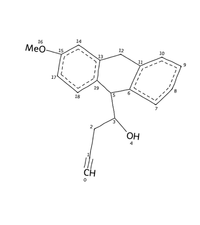 C#CCC(O)C1c2ccccc2Cc2cc(OC)ccc21